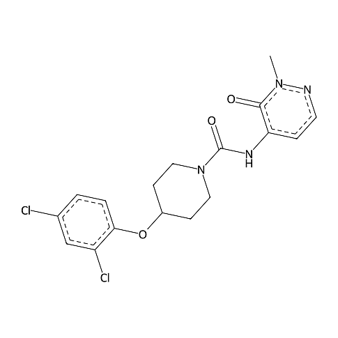 Cn1nccc(NC(=O)N2CCC(Oc3ccc(Cl)cc3Cl)CC2)c1=O